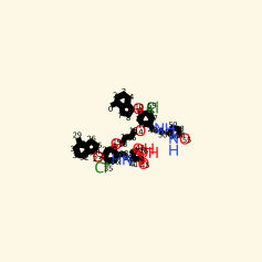 Cc1cccc2c1CC[C@@H]2Oc1cc(OCCCCOc2cc(O[C@H]3CCc4c(C)cccc43)c(Cl)cc2CN[C@@](C)(CO)C(=O)O)c(CNC[C@@H]2CCC(=O)N2)cc1Cl